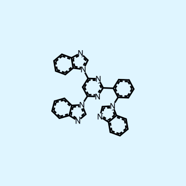 c1ccc(-n2cnc3ccccc32)c(-c2nc(-n3cnc4ccccc43)cc(-n3cnc4ccccc43)n2)c1